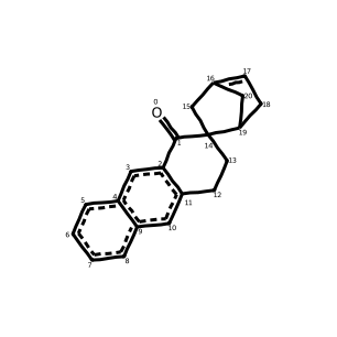 O=C1c2cc3ccccc3cc2CCC12CC1=CCC2C1